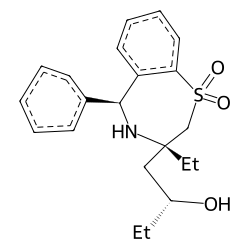 CC[C@@H](O)C[C@@]1(CC)CS(=O)(=O)c2ccccc2[C@H](c2ccccc2)N1